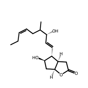 CC/C=C\CC(C)[C@H](O)/C=C/[C@@H]1[C@H]2CC(=O)O[C@H]2C[C@H]1O